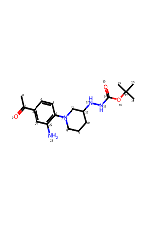 CC(=O)c1ccc(N2CCCC(NNC(=O)OC(C)(C)C)C2)c(N)c1